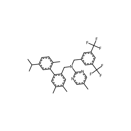 Cc1cnc(N(Cc2cc(C(F)(F)F)cc(C(F)(F)F)c2)Cc2cc(C)c(C)cc2-c2cc(C(C)C)ccc2C)nc1